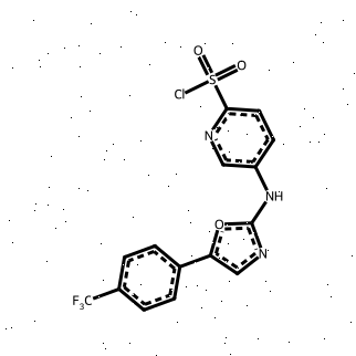 O=S(=O)(Cl)c1ccc(Nc2ncc(-c3ccc(C(F)(F)F)cc3)o2)cn1